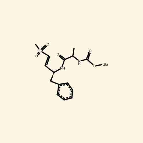 CC(NC(=O)OC(C)(C)C)C(=O)N[C@H](/C=C/S(C)(=O)=O)Cc1ccccc1